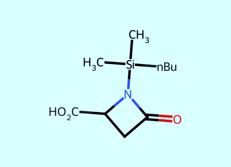 CCCC[Si](C)(C)N1C(=O)CC1C(=O)O